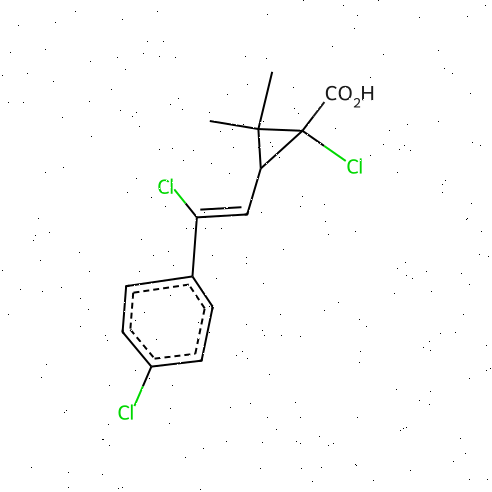 CC1(C)C(C=C(Cl)c2ccc(Cl)cc2)C1(Cl)C(=O)O